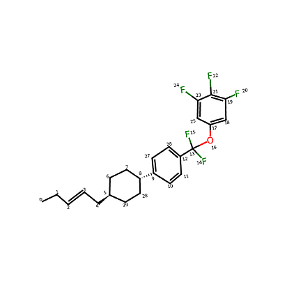 CCC=CC[C@H]1CC[C@H](c2ccc(C(F)(F)Oc3cc(F)c(F)c(F)c3)cc2)CC1